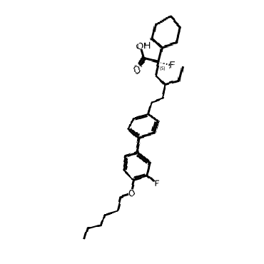 CCCCCCOc1ccc(-c2ccc(CCC(CC)C[C@@](F)(C(=O)O)C3CCCCC3)cc2)cc1F